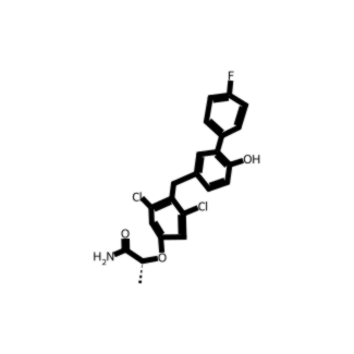 C[C@@H](Oc1cc(Cl)c(Cc2ccc(O)c(-c3ccc(F)cc3)c2)c(Cl)c1)C(N)=O